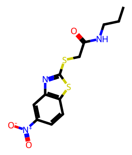 CCCNC(=O)CSc1nc2cc([N+](=O)[O-])ccc2s1